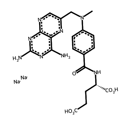 CN(Cc1cnc2nc(N)nc(N)c2n1)c1ccc(C(=O)N[C@@H](CCC(=O)O)C(=O)O)cc1.[Na].[Na]